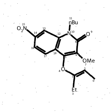 CC=C(CC)Oc1c(OC)c(=O)n(CCCC)c2cc([N+](=O)[O-])ccc12